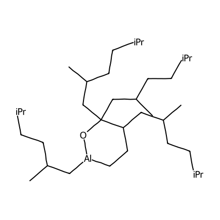 CC(C)CCC(C)CC1C[CH2][Al]([CH2]C(C)CCC(C)C)[O]C1(CC(C)CCC(C)C)CC(C)CCC(C)C